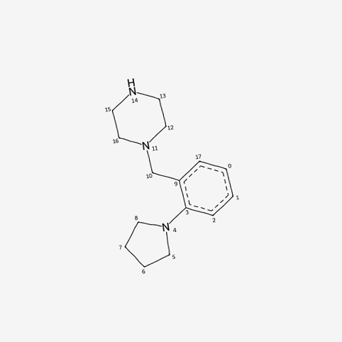 c1ccc(N2CCCC2)c(CN2CCNCC2)c1